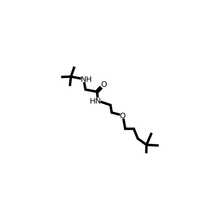 CC(C)(C)CCCOCCNC(=O)CNC(C)(C)C